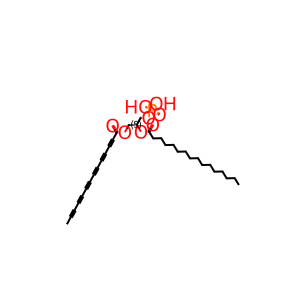 CC#CC#CC#CC#CC#CC#CC(=O)OC[C@@H](COP(=O)(O)O)OC(=O)CCCCCCCCCCCCCCC